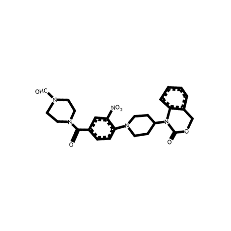 O=CN1CCN(C(=O)c2ccc(N3CCC(N4C(=O)OCc5ccccc54)CC3)c([N+](=O)[O-])c2)CC1